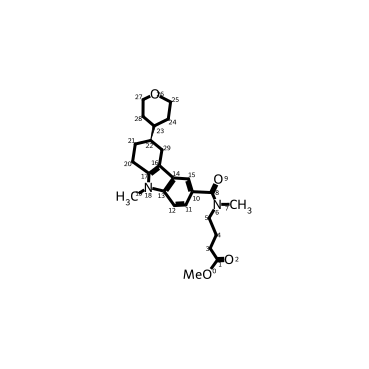 COC(=O)CCCN(C)C(=O)c1ccc2c(c1)c1c(n2C)CC[C@@H](C2CCOCC2)C1